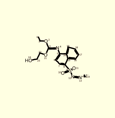 CCOC(=Nc1ccc(S(=O)(=O)N=[N+]=[N-])c2ccccc12)OCCO